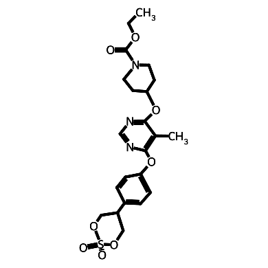 CCOC(=O)N1CCC(Oc2ncnc(Oc3ccc(C4COS(=O)(=O)OC4)cc3)c2C)CC1